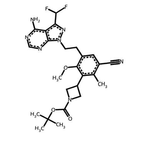 COc1c(CCn2nc(C(F)F)c3c(N)ncnc32)cc(C#N)c(C)c1C1CN(C(=O)OC(C)(C)C)C1